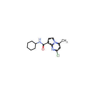 Cc1cc(Cl)nc2c(C(=O)NC3CCCCC3)ccn12